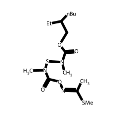 CCCCC(CC)COC(=O)N(C)SN(C)C(=O)ON=C(C)SC